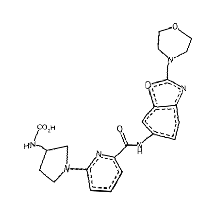 O=C(O)NC1CCN(c2cccc(C(=O)Nc3ccc4nc(N5CCOCC5)oc4c3)n2)C1